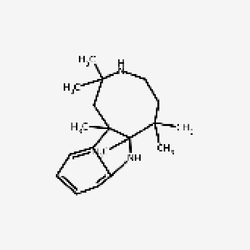 CC1(C)CC2(C)c3ccccc3NC2(C)C(C)(C)CCN1